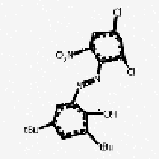 CC(C)(C)c1cc(/N=N/c2c(Cl)cc(Cl)cc2[N+](=O)[O-])c(O)c(C(C)(C)C)c1